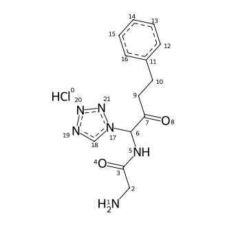 Cl.NCC(=O)NC(C(=O)CCc1ccccc1)n1cnnn1